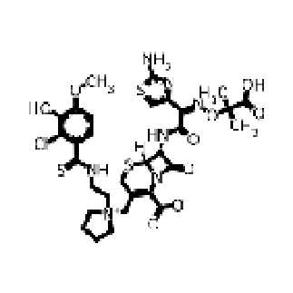 COc1ccc(C(=S)NCC[N+]2(CC3=C(C(=O)[O-])N4C(=O)[C@@H](NC(=O)/C(=N\OC(C)(C)C(=O)O)c5csc(N)n5)[C@H]4SC3)CCCC2)c(Cl)c1O